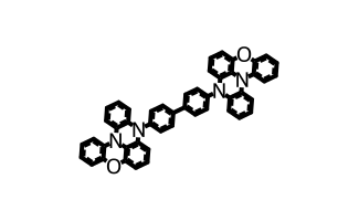 c1ccc2c(c1)Oc1cccc3c1N2c1ccccc1N3c1ccc(-c2ccc(N3c4ccccc4N4c5ccccc5Oc5cccc3c54)cc2)cc1